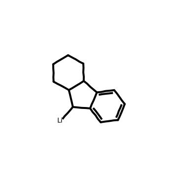 [Li][CH]1c2ccccc2C2CCCCC12